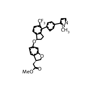 COC(=O)C[C@@H]1COc2cc(O[C@@H]3CCc4c3ccc(C(F)(F)F)c4-c3ccc(-c4ccnn4C)cc3)ccc21